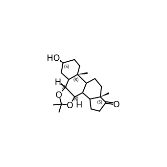 CC1(C)O[C@@H]2C3C(CC[C@]4(C)C(=O)CCC34)[C@@]3(C)CC[C@H](O)CC3[C@H]2O1